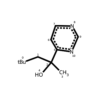 CC(C)(C)CC(C)(O)c1ccncn1